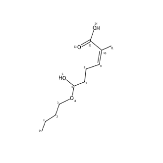 CCCCOC(O)CCC=C(C)C(=O)O